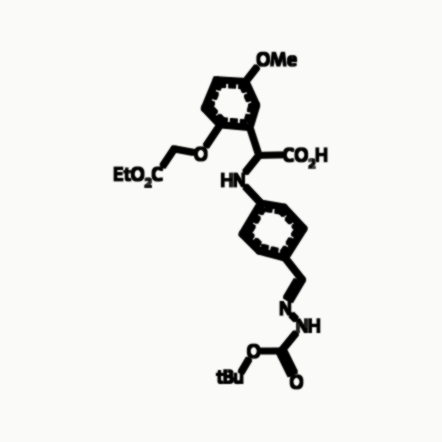 CCOC(=O)COc1ccc(OC)cc1C(Nc1ccc(C=NNC(=O)OC(C)(C)C)cc1)C(=O)O